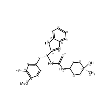 COc1ccc(C[C@@H](NC(=O)N[C@H]2CC[C@@](C)(O)CC2)c2nc3ccccc3[nH]2)cc1F